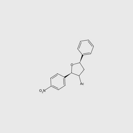 CC(=O)C1C[C@H](c2ccccc2)O[C@@H]1c1ccc([N+](=O)[O-])cc1